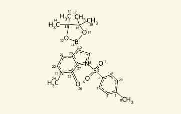 Cc1ccc(S(=O)(=O)n2cc(B3OC(C)(C)C(C)(C)O3)c3ccn(C)c(=O)c32)cc1